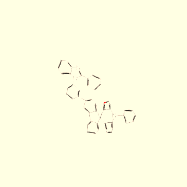 c1ccc(-c2nc3ccccc3n2-c2cccc(-c3ccc4c(c3)-c3ccccc3C43c4ccccc4N(c4ccccc4)c4ccccc43)c2)cc1